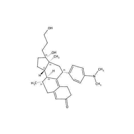 C[C@H]1CC2=CC(=O)CCC2=C2[C@@H]1[C@@H]1CC[C@@](O)(CCCO)[C@@]1(C)C[C@@H]2c1ccc(N(C)C)cc1